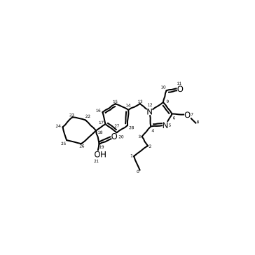 CCCCc1nc(OC)c(C=O)n1Cc1ccc(C2(C(=O)O)CCCCC2)cc1